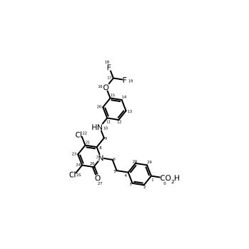 O=C(O)c1ccc(CCn2c(CNc3cccc(OC(F)F)c3)c(Cl)cc(Cl)c2=O)cc1